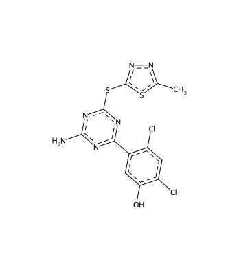 Cc1nnc(Sc2nc(N)nc(-c3cc(O)c(Cl)cc3Cl)n2)s1